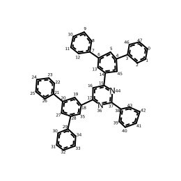 c1ccc(-c2cc(-c3ccccc3)cc(-c3cc(-c4cc(-c5ccccc5)cc(-c5ccccc5)c4)nc(-c4ccccc4)n3)c2)cc1